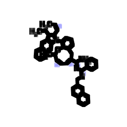 C=Cc1c(/C=C\C)n(-c2cccc3c2OC(=C)\C=C/C=C(/C(N)=N/C(=N\Cc2ccc4ccccc4c2)c2ccccc2)C3)c2cc3ccccc3cc12